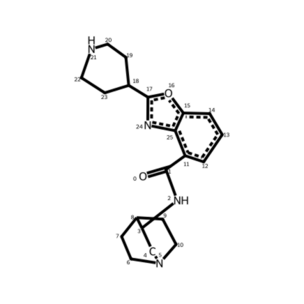 O=C(NC1CN2CCC1CC2)c1cccc2oc(C3CCNCC3)nc12